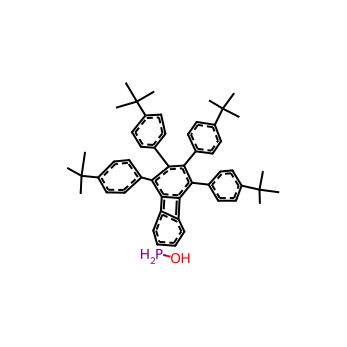 CC(C)(C)c1ccc(-c2c(-c3ccc(C(C)(C)C)cc3)c(-c3ccc(C(C)(C)C)cc3)c3c(c2-c2ccc(C(C)(C)C)cc2)=c2ccccc2=3)cc1.OP